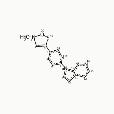 CN1C=C(c2ccc(-n3ccc4ccncc43)nc2)SO1